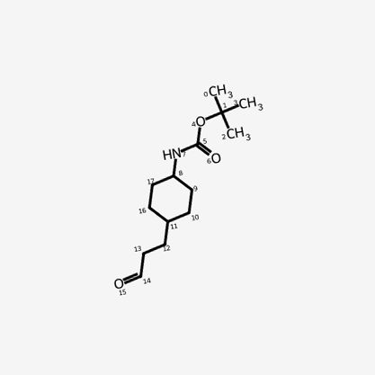 CC(C)(C)OC(=O)NC1CCC(CCC=O)CC1